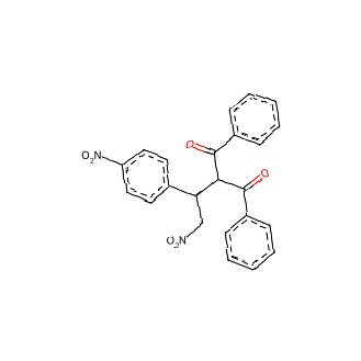 O=C(c1ccccc1)C(C(=O)c1ccccc1)C(C[N+](=O)[O-])c1ccc([N+](=O)[O-])cc1